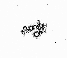 CN(C)C(=O)Oc1ccc(C[C@H](Nc2ncncc2N2CCCCC2)C(=O)O)cc1